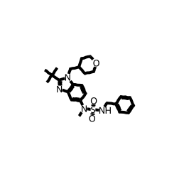 CN(c1ccc2c(c1)nc(C(C)(C)C)n2CC1CCOCC1)S(=O)(=O)NCc1ccccc1